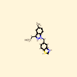 Cc1ccc2c(c1)c(CC(=O)O)nn2Cc1ccc2scnc2c1